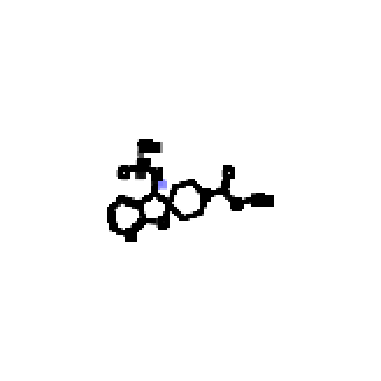 CC(C)(C)OC(=O)N1CCC2(CC1)Oc1ncccc1/C2=N\[S@+]([O-])C(C)(C)C